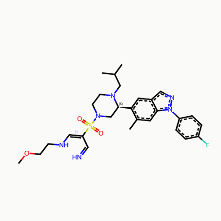 COCCN/C=C(\C=N)S(=O)(=O)N1CCN(CC(C)C)[C@@H](c2cc3cnn(-c4ccc(F)cc4)c3cc2C)C1